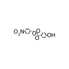 O=C(OCc1ccc([N+](=O)[O-])cc1)C(=O)c1ccc(O)cc1